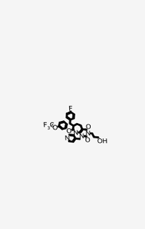 O=c1c2c(n(Cc3ccncc3)c(=O)n1CCCO)N=C(Oc1cccc(OC(F)(F)F)c1)C(Cc1ccc(F)cc1)CC2